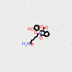 NC(=O)CCCCC(=O)N1C(=O)c2ccccc2[C@H](C(=O)O)[C@H]1c1cccc(O)c1